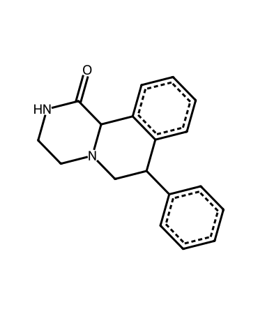 O=C1NCCN2CC(c3ccccc3)c3ccccc3C12